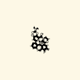 CN(C)C(=O)Oc1c2n(ccc1=O)N([C@@H]1c3ccccc3SCc3c1ccc(F)c3F)[C@@H]1COCCN1C2=O